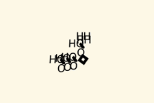 C1CCC1.O=CO.O=CO.O=CO.O=CO.[HH].[HH]